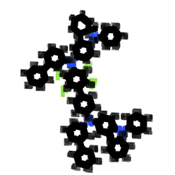 CC12C=CC=CC1c1cc(N(c3cccc(-c4ccccc4)c3)c3c(F)c(F)c(-c4ccc(N(c5cccc(-c6ccccc6)c5)c5ccc6c(c5)c5ccccc5n6-c5ccccc5)cc4)c(F)c3F)ccc1N2c1ccccc1